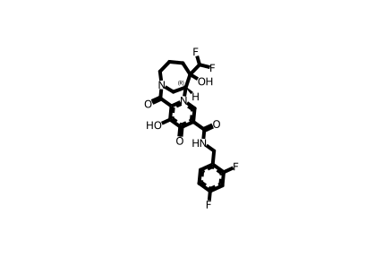 O=C(NCc1ccc(F)cc1F)c1cn2c(c(O)c1=O)C(=O)N1CCCC(O)(C(F)F)[C@H]2C1